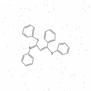 C(=C(Sc1ccccc1)c1ccccc1)C(=Nc1ccccc1)Sc1ccccc1